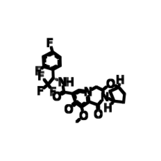 COc1c2n(cc(C(=O)N[C@@H](c3ccc(F)cc3F)C(F)(F)F)c1=O)CC1O[C@@H]3CC[C@@H](C3)N1C2=O